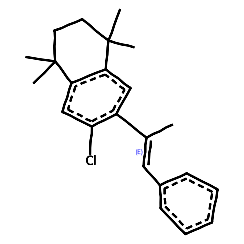 C/C(=C\c1ccccc1)c1cc2c(cc1Cl)C(C)(C)CCC2(C)C